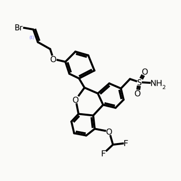 NS(=O)(=O)Cc1ccc2c(c1)C(c1cccc(OC/C=C/Br)c1)Oc1cccc(OC(F)F)c1-2